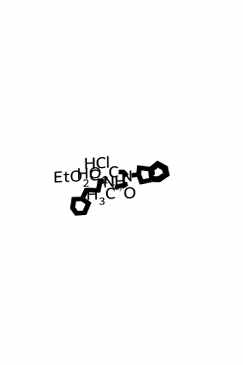 CCOC(=O)[C@H](CCC1CCCCC1)N[C@@H](C)C(=O)N(CC(=O)O)C1Cc2ccccc2C1.Cl